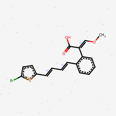 CO/C=C(/C(=O)O)c1ccccc1/C=C/C=C/c1ccc(Br)s1